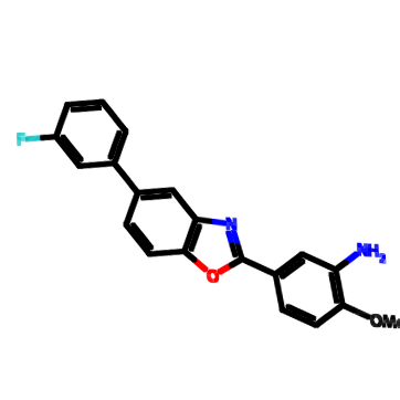 COc1ccc(-c2nc3cc(-c4cccc(F)c4)ccc3o2)cc1N